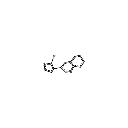 Brc1sccc1-c1cnc2ccccc2c1